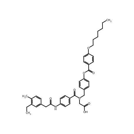 CCCCCCCOc1ccc(C(=O)Oc2ccc(CN(CC(=O)O)C(=O)c3ccc(NC(=O)Cc4ccc(C)c(CC)c4)cc3)cc2)cc1